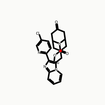 CC(C)(C)OC(=O)N1C2CC(=O)CC1CN(Cc1c(-c3ccc(Cl)cn3)nc3ccccn13)C2